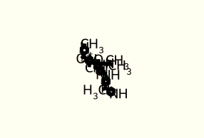 CN(C)CCn1c(=O)c(-c2ncc([S+]([O-])C3CCN(C)CC3)cc2Cl)cc2cnc(Nc3ccc(N(C)C4CCNCC4)cc3)nc21